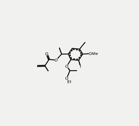 C=C(C)C(=O)OC(C)c1cc(C)c(OC)c(I)c1OC(C)OCC